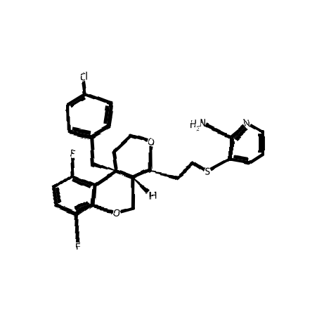 Nc1ncccc1SCC[C@@H]1OCC[C@@]2(Cc3ccc(Cl)cc3)c3c(F)ccc(F)c3OC[C@@H]12